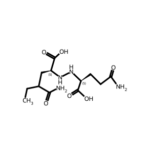 CCC(C[C@H](NN[C@@H](CCC(N)=O)C(=O)O)C(=O)O)C(N)=O